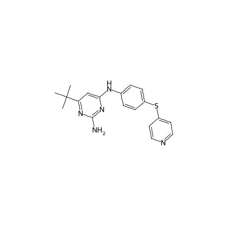 CC(C)(C)c1cc(Nc2ccc(Sc3ccncc3)cc2)nc(N)n1